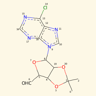 CC1(C)OC2C(C=O)OC(n3cnc4c(Cl)ncnc43)C2O1